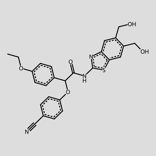 CCOc1ccc(C(Oc2ccc(C#N)cc2)C(=O)Nc2nc3cc(CO)c(CO)cc3s2)cc1